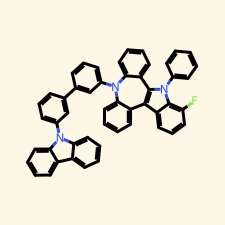 Fc1cccc2c3c(n(-c4ccccc4)c12)-c1ccccc1N(c1cccc(-c2cccc(-n4c5ccccc5c5ccccc54)c2)c1)c1ccccc1-3